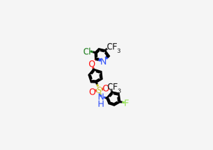 O=S(=O)(Nc1ccc(F)cc1C(F)(F)F)c1ccc(Oc2ncc(C(F)(F)F)cc2Cl)cc1